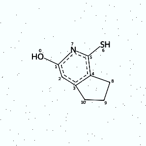 Oc1cc2c(c(S)n1)CCC2